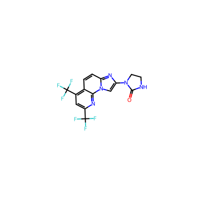 O=C1NCCN1c1cn2c(ccc3c(C(F)(F)F)cc(C(F)(F)F)nc32)n1